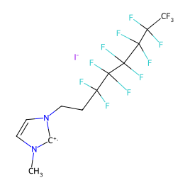 CN1[C+]N(CCC(F)(F)C(F)(F)C(F)(F)C(F)(F)C(F)(F)C(F)(F)F)C=C1.[I-]